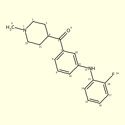 CN1CCC(C(=O)c2cccc(Nc3ccccc3F)c2)CC1